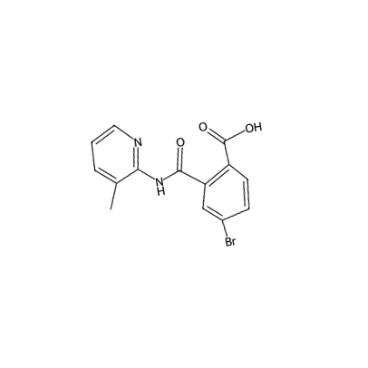 Cc1cccnc1NC(=O)c1cc(Br)ccc1C(=O)O